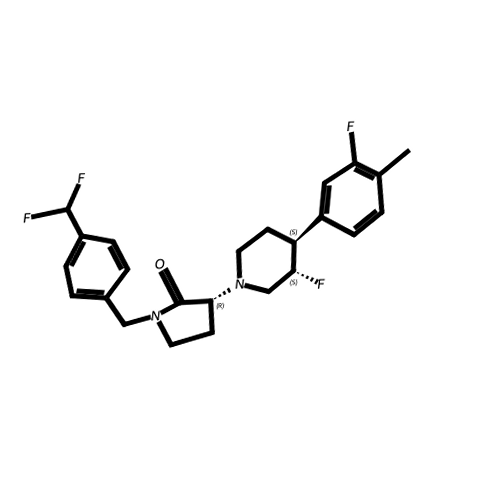 Cc1ccc([C@@H]2CCN([C@@H]3CCN(Cc4ccc(C(F)F)cc4)C3=O)C[C@H]2F)cc1F